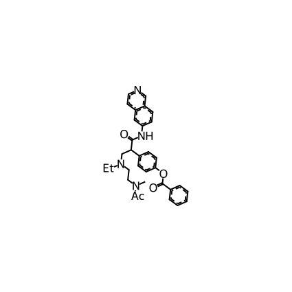 CCN(CCN(C)C(C)=O)CC(C(=O)Nc1ccc2cnccc2c1)c1ccc(OC(=O)c2ccccc2)cc1